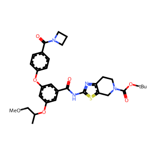 COCC(C)Oc1cc(Oc2ccc(C(=O)N3CCC3)cc2)cc(C(=O)Nc2nc3c(s2)CN(C(=O)OC(C)(C)C)CC3)c1